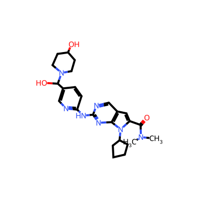 CN(C)C(=O)c1cc2cnc(Nc3ccc(C(O)N4CCC(O)CC4)cn3)nc2n1C1CCCC1